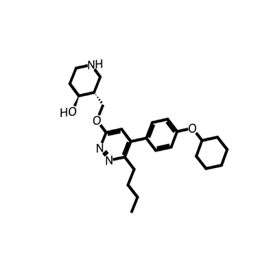 CCCCc1nnc(OC[C@H]2CNCC[C@@H]2O)cc1-c1ccc(OC2CCCCC2)cc1